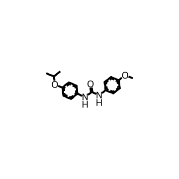 COc1ccc(NC(=O)Nc2ccc(OC(C)C)cc2)cc1